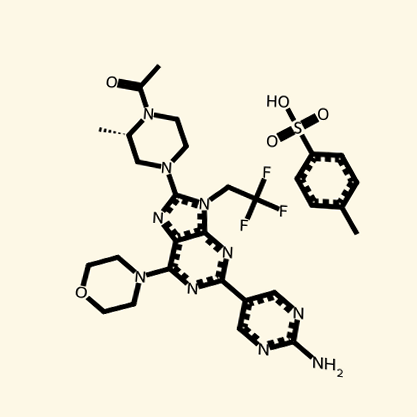 CC(=O)N1CCN(c2nc3c(N4CCOCC4)nc(-c4cnc(N)nc4)nc3n2CC(F)(F)F)C[C@@H]1C.Cc1ccc(S(=O)(=O)O)cc1